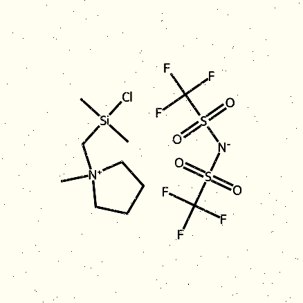 C[N+]1(C[Si](C)(C)Cl)CCCC1.O=S(=O)([N-]S(=O)(=O)C(F)(F)F)C(F)(F)F